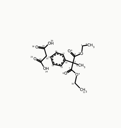 CCOC(=O)C(C)(C(=O)OCC)c1ccccc1.O=C(O)CC(=O)O